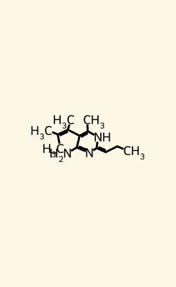 CC/C=C1/N=C(N)C(C(C)=C(C)C)=C(C)N1